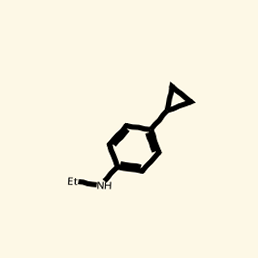 CCNc1ccc(C2CC2)cc1